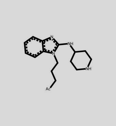 CC(=O)CCCn1c(NC2CCNCC2)nc2ccccc21